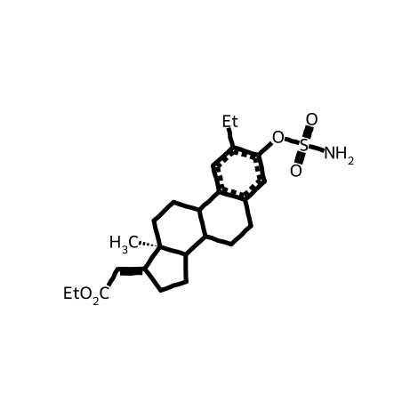 CCOC(=O)/C=C1\CCC2C3CCc4cc(OS(N)(=O)=O)c(CC)cc4C3CC[C@]12C